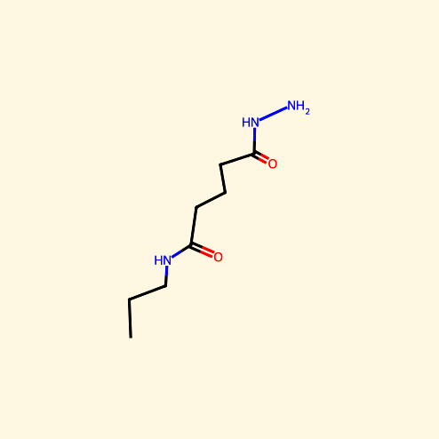 CCCNC(=O)CCCC(=O)NN